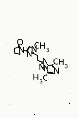 Cc1ncc(C)n2nc(CCc3nc(N4CCCC4=O)cn3C)nc12